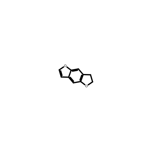 c1cc2cc3c(cc2o1)CCO3